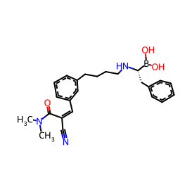 CN(C)C(=O)C(C#N)=Cc1cccc(CCCCN[C@@H](Cc2ccccc2)B(O)O)c1